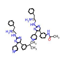 CC(=O)Nc1cccc(-c2cnc(NC[C@@H](N)Cc3ccccc3)nc2-c2ccncc2)c1.CC(C)c1cccc(-c2cnc(NC[C@@H](N)Cc3ccccc3)nc2-c2ccncc2)c1